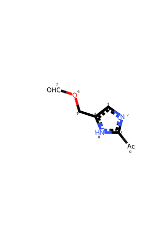 CC(=O)c1ncc(CO[C]=O)[nH]1